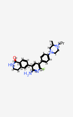 CC(C)N1CCN(c2ccc(-c3cc(-c4ccc5c(c4)CCNC5=O)c(N)nc3F)cc2)CC1C